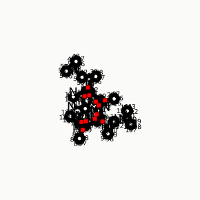 N#Cc1c(-n2c3ccccc3c3ncccc32)c(-n2c3ccc(-c4ccccc4)cc3c3cc(-n4c5ccccc5c5cc(-n6c7ccccc7c7ccccc76)ccc54)ccc32)c(-n2c3ccccc3c3ncccc32)c(-n2c3ccc(-c4ccccc4)cc3c3cc(-n4c5ccccc5c5cc(-n6c7ccccc7c7ccccc76)ccc54)ccc32)c1-n1c2ccccc2c2ncccc21